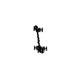 CC1(C)CN=C(NCCCCCCCCCCCCNC2=NCCC2)NC1